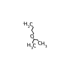 [CH2]CCCOC(CC)CC